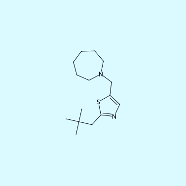 CC(C)(C)Cc1ncc(CN2CCCCCC2)s1